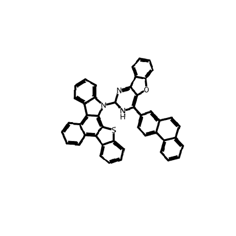 c1ccc2c(c1)ccc1cc(C3=c4oc5ccccc5c4=NC(n4c5ccccc5c5c6ccccc6c6c7ccccc7sc6c54)N3)ccc12